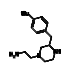 CC(C)(C)c1ccc(CC2CN(CCN)CCN2)cc1